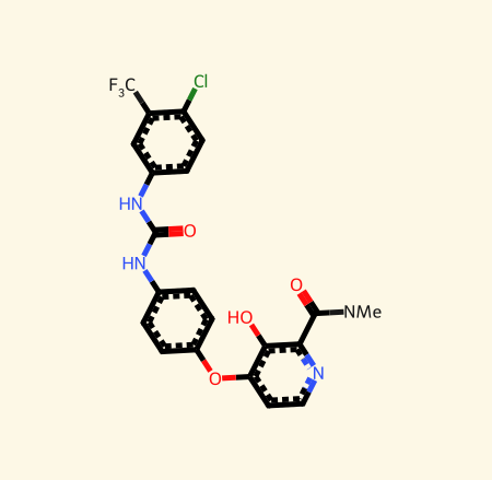 CNC(=O)c1nccc(Oc2ccc(NC(=O)Nc3ccc(Cl)c(C(F)(F)F)c3)cc2)c1O